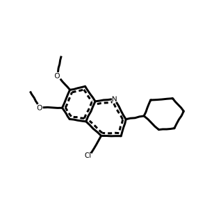 COc1cc2nc(C3CCCCC3)cc(Cl)c2cc1OC